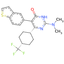 CN(C)c1nc([C@H]2CC[C@@H](C(F)(F)F)CC2)c(-c2ccc3sccc3c2)c(=O)[nH]1